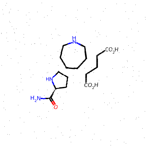 C1CCCNCC1.NC(=O)[C@@H]1CCCN1.O=C(O)CCCC(=O)O